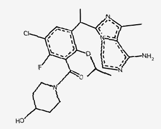 Cc1nc(C(C)c2cc(Cl)c(F)c(C(=O)N3CCC(O)CC3)c2OC(C)C)n2ccnc(N)c12